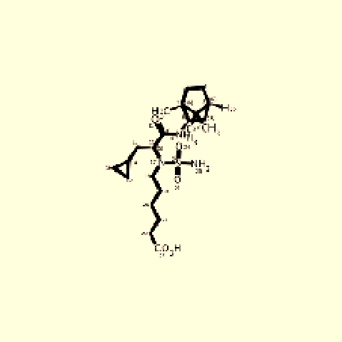 CC1(C)[C@@H]2CC[C@@]1(C)[C@H](NC(=O)[C@H](CC1CC1)N(CCCCCC(=O)O)S(N)(=O)=O)C2